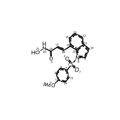 COc1ccc(S(=O)(=O)n2ccc3cccc(C=CC(=O)NO)c32)cc1